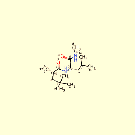 [CH2][C@@H](CC(C)(C)C)C(=O)N[C@@H](CC(C)C)C(=O)NC